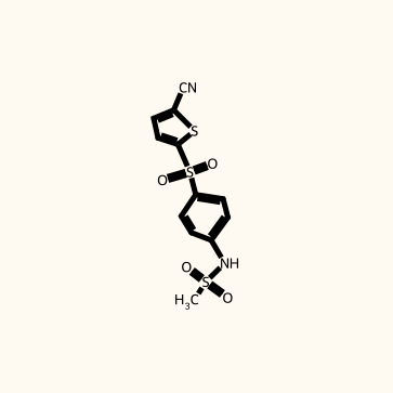 CS(=O)(=O)Nc1ccc(S(=O)(=O)c2ccc(C#N)s2)cc1